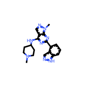 CN1CCC(Nc2nc(-c3cccc4[nH]ncc34)nc3c2cnn3C)CC1